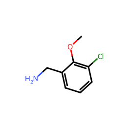 COc1c(Cl)cccc1CN